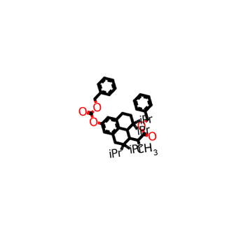 CC(C(=O)OCc1ccccc1)C1C2c3c(cc(OC(=O)OCc4ccccc4)cc3CC1(C(C)C)C(C)C)CCC2(C(C)C)C(C)C